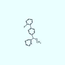 COC(c1ccc(-c2ccccc2F)cc1)c1ccccn1